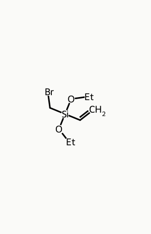 C=C[Si](CBr)(OCC)OCC